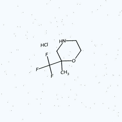 CC1(C(F)(F)F)CNCCO1.Cl